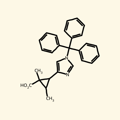 CC1C(c2cn(C(c3ccccc3)(c3ccccc3)c3ccccc3)cn2)C1(C)C(=O)O